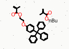 C=C(C)C(=O)OCCCC.C=C(C)C(=O)OCCOc1ccc(C(c2ccccc2)(c2ccccc2)c2ccccc2)cc1